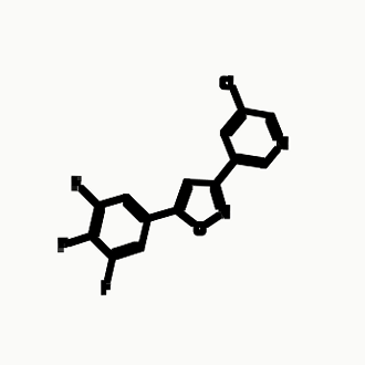 Fc1cc(-c2cc(-c3cncc(Cl)c3)no2)cc(F)c1F